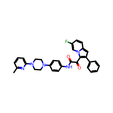 Cc1cccc(N2CCN(c3ccc(NC(=O)C(=O)c4c(-c5ccccc5)cc5ccc(F)cn45)cc3)CC2)n1